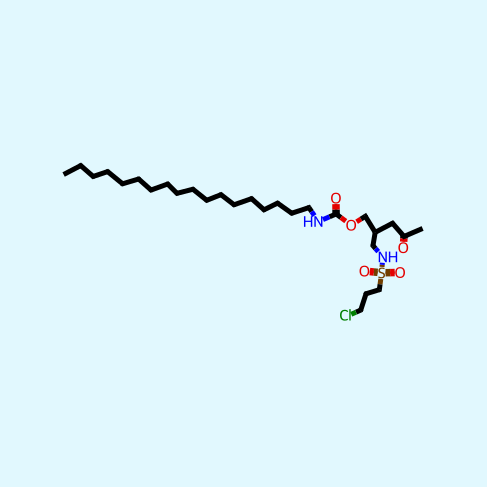 CCCCCCCCCCCCCCCCCCNC(=O)OCC(CNS(=O)(=O)CCCCl)CC(C)=O